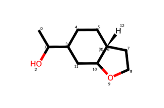 CC(O)C1CC[C@@H]2CCOC2C1